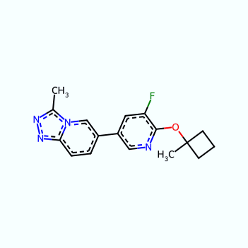 Cc1nnc2ccc(-c3cnc(OC4(C)CCC4)c(F)c3)cn12